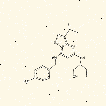 CCC(CO)Nc1cc(NCc2ccc(N)cc2)n2ncc(C(C)C)c2n1